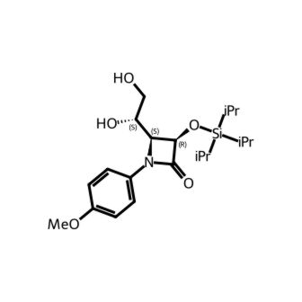 COc1ccc(N2C(=O)[C@H](O[Si](C(C)C)(C(C)C)C(C)C)[C@@H]2[C@H](O)CO)cc1